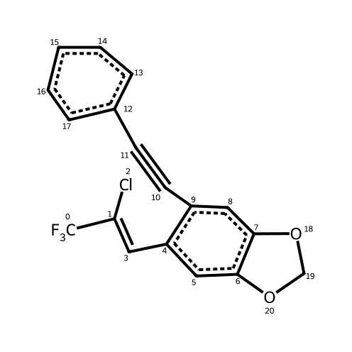 FC(F)(F)C(Cl)=Cc1cc2c(cc1C#Cc1ccccc1)OCO2